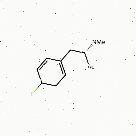 CN[C@@H](CC1=CCC(F)C=C1)C(C)=O